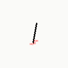 CCCCCCCCCCCCCCCC(O)CC(=O)O